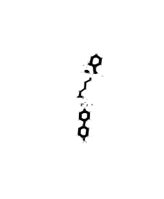 Cn1c(=O)n(CCCCC(NS(=O)(=O)c2ccc(-c3ccc(Cl)cc3)cc2)C(=O)O)c(=O)c2ccccc21